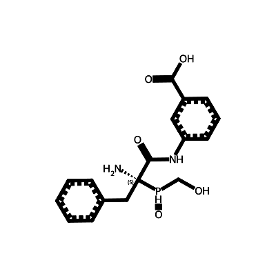 N[C@](Cc1ccccc1)(C(=O)Nc1cccc(C(=O)O)c1)[PH](=O)CO